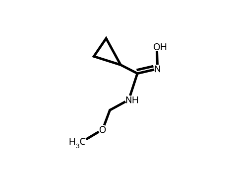 COCN/C(=N/O)C1CC1